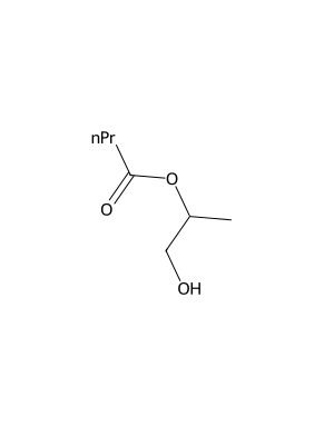 CCCC(=O)OC(C)CO